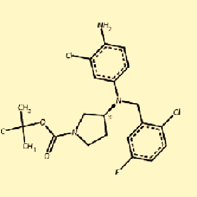 CC(C)(C)OC(=O)N1CC[C@H](N(Cc2cc(F)ccc2Cl)c2ccc(N)c(Cl)c2)C1